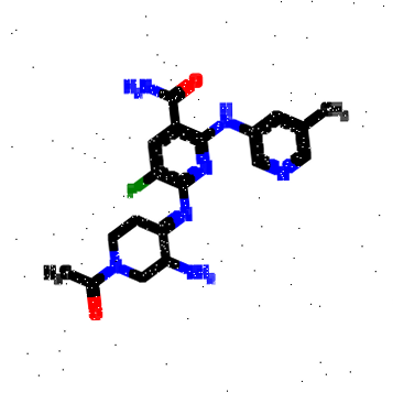 CC(=O)N1CC/C(=N\c2nc(Nc3cncc(C)c3)c(C(N)=O)cc2F)C(N)C1